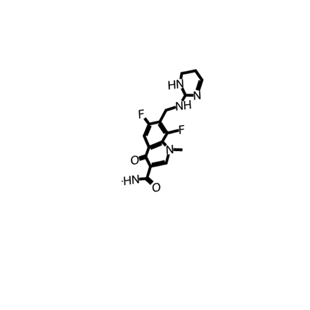 Cn1cc(C([NH])=O)c(=O)c2cc(F)c(CNC3N=CCCN3)c(F)c21